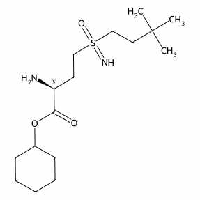 CC(C)(C)CCS(=N)(=O)CC[C@H](N)C(=O)OC1CCCCC1